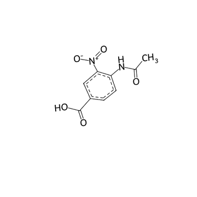 CC(=O)Nc1ccc(C(=O)O)cc1[N+](=O)[O-]